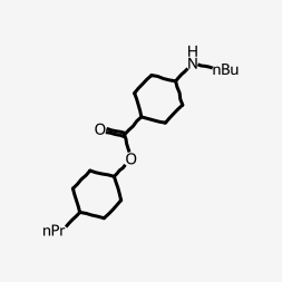 CCCCNC1CCC(C(=O)OC2CCC(CCC)CC2)CC1